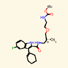 C[C@H](CNC(=O)c1[nH]c2ccc(F)cc2c1C1=CCCCC1)COCCNC(=O)OC(C)(C)C